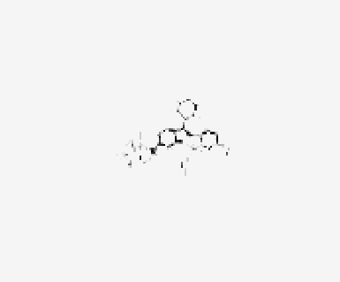 CCOC1c2cc(OC)ccc2-c2c(C3CCCCC3)c3ccc(C(=O)NS(=O)(=O)N(C)C)cc3n21